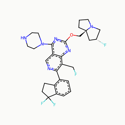 FCc1c(-c2cccc3c2CCC3(F)F)ncc2c(N3CCNCC3)nc(OC[C@@]34CCCN3C[C@H](F)C4)nc12